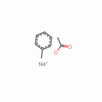 CC(=O)[O-].Cc1ccccc1.[Na+]